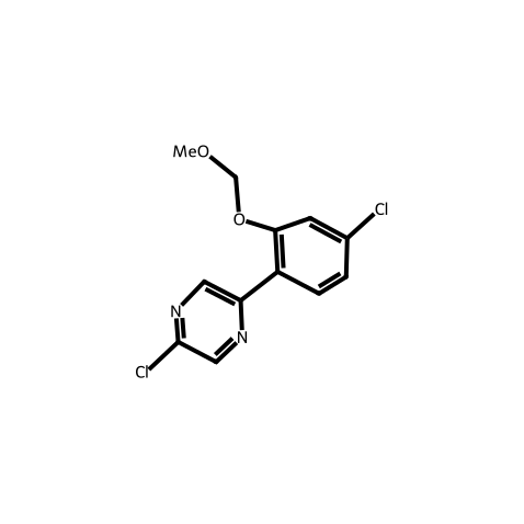 COCOc1cc(Cl)ccc1-c1cnc(Cl)cn1